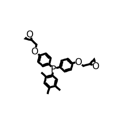 Cc1cc(C)c(P(c2ccc(OCC3CO3)cc2)c2ccc(OCC3CO3)cc2)cc1C